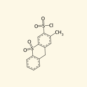 Cc1cc2c(cc1S(=O)(=O)Cl)S(=O)(=O)c1ccccc1C2